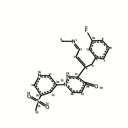 C/N=C\C=C(/Cc1cccc(F)c1)c1nn(-c2cncc(S(C)(=O)=O)c2)ccc1=O